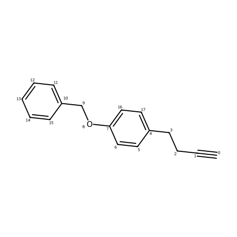 C#CCCc1ccc(OCc2ccccc2)cc1